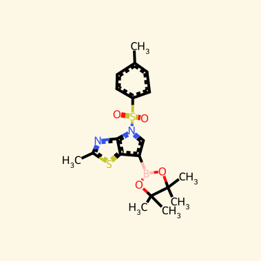 Cc1ccc(S(=O)(=O)n2cc(B3OC(C)(C)C(C)(C)O3)c3sc(C)nc32)cc1